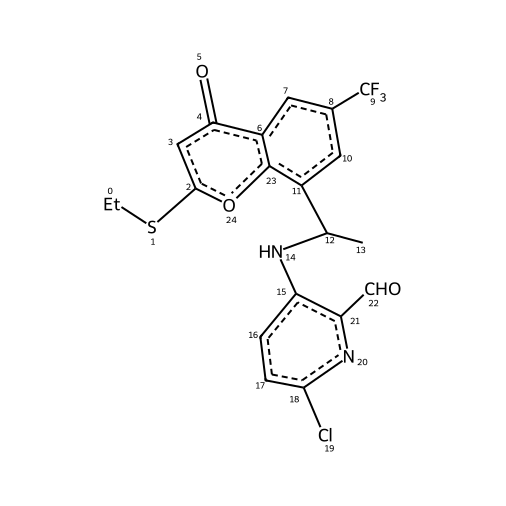 CCSc1cc(=O)c2cc(C(F)(F)F)cc(C(C)Nc3ccc(Cl)nc3C=O)c2o1